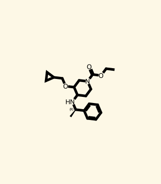 CCOC(=O)N1CCC(N[C@H](C)c2ccccc2)C(OCC2CC2)C1